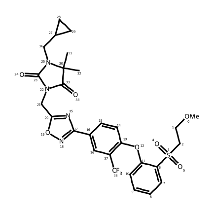 COCCS(=O)(=O)c1ccccc1Oc1ccc(-c2noc(CN3C(=O)N(CC4CC4)C(C)(C)C3=O)n2)cc1C(F)(F)F